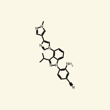 CC(C)c1nn(-c2ccc(C#N)cc2N)c2cccc(-n3cnc(-c4cnn(C)c4)c3)c12